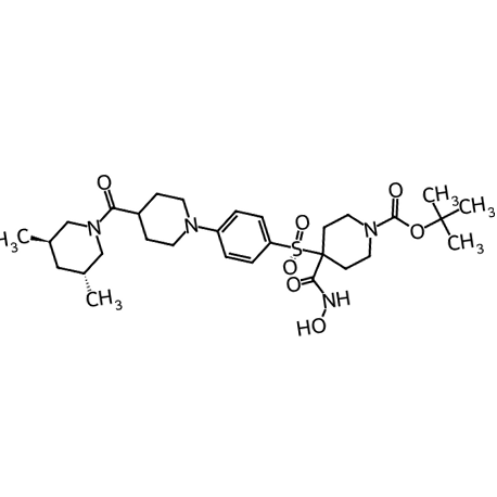 C[C@@H]1C[C@@H](C)CN(C(=O)C2CCN(c3ccc(S(=O)(=O)C4(C(=O)NO)CCN(C(=O)OC(C)(C)C)CC4)cc3)CC2)C1